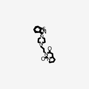 O=C1CC2CCCN2C(=O)N1CCCN1CCN(c2nsc3ccccc23)CC1